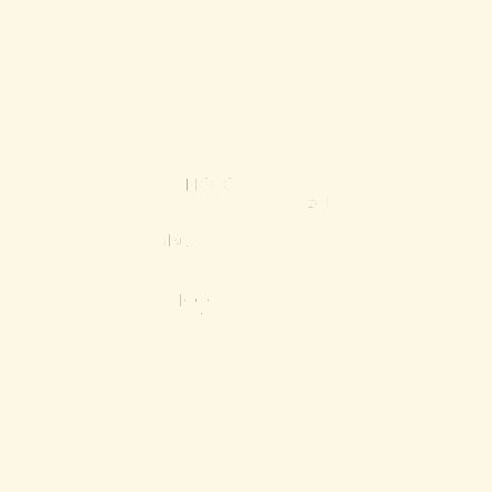 CCC(C)c1ccc(C(=O)O)c(C(C)CC)c1C(=O)O